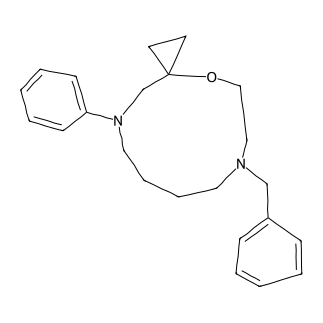 c1ccc(CN2CCCCN(c3ccccc3)CC3(CC3)OCC2)cc1